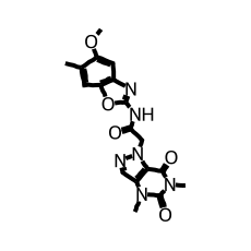 COc1cc2nc(NC(=O)Cn3ncc4c3c(=O)n(C)c(=O)n4C)oc2cc1C